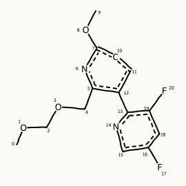 COCOCc1nc(OC)ccc1-c1ncc(F)cc1F